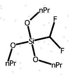 CCCO[Si](OCCC)(OCCC)C(F)F